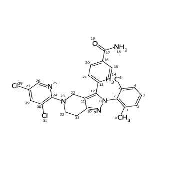 Cc1cccc(C)c1-n1nc2c(c1-c1ccc(C(N)=O)cc1)CN(c1ncc(Cl)cc1Cl)CC2